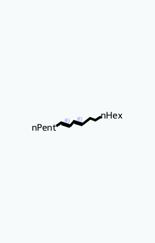 [CH2]CCCC/C=C/C=C/CCCCCCCC